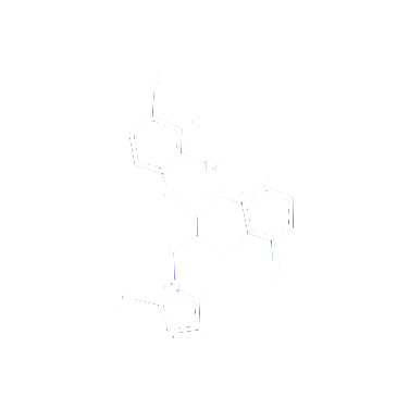 Cc1nccn1CC(COc1ccc(Br)cc1Br)Sc1c(Cl)cccc1Cl